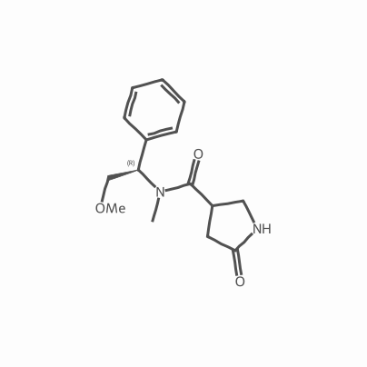 COC[C@@H](c1ccccc1)N(C)C(=O)C1CNC(=O)C1